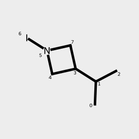 CC(C)C1CN(I)C1